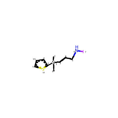 C[Si](C)(CCCNI)c1cccs1